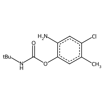 Cc1cc(OC(=O)NC(C)(C)C)c(N)cc1Cl